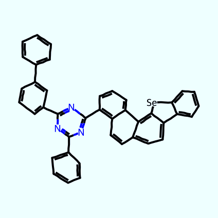 c1ccc(-c2cccc(-c3nc(-c4ccccc4)nc(-c4cccc5c4ccc4ccc6c7ccccc7[se]c6c45)n3)c2)cc1